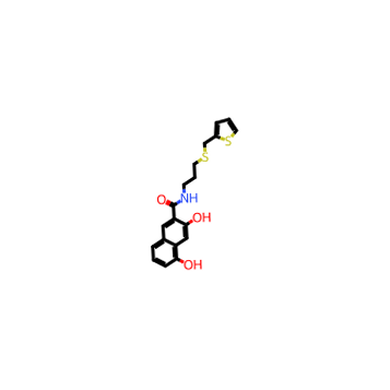 O=C(NCCCSCc1cccs1)c1cc2cccc(O)c2cc1O